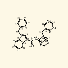 O=C(NC1C2CCN(CC2)C1Cc1cccnc1)c1cn(Cc2ccccc2)c2ccccc12